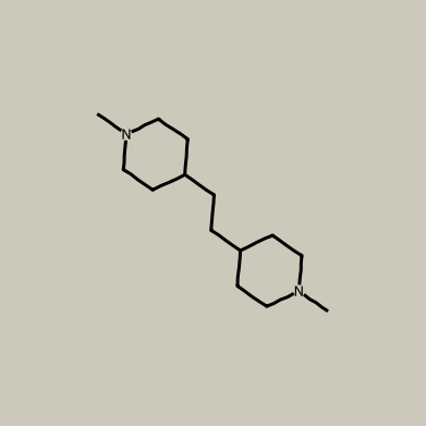 CN1CCC(CCC2CCN(C)CC2)CC1